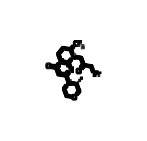 CC(C)CC(=O)CN1c2nc(N3CCOC[C@H]3C)cc(=O)n2CCC1C(F)(F)F